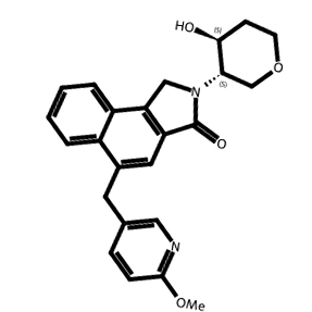 COc1ccc(Cc2cc3c(c4ccccc24)CN([C@H]2COCC[C@@H]2O)C3=O)cn1